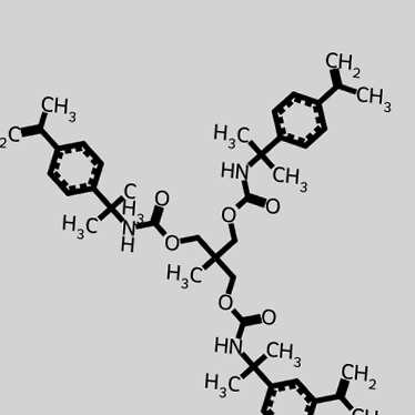 C=C(C)c1ccc(C(C)(C)NC(=O)OCC(C)(COC(=O)NC(C)(C)c2ccc(C(=C)C)cc2)COC(=O)NC(C)(C)c2cccc(C(=C)C)c2)cc1